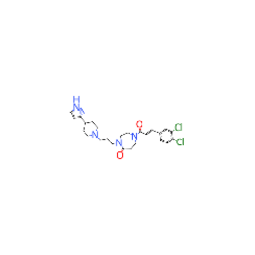 O=C(/C=C/c1ccc(Cl)c(Cl)c1)N1CCC(=O)N(CCCN2CCC(c3cc[nH]n3)CC2)CC1